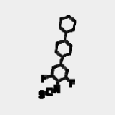 FC1CC(C2CCC(C3CCCCC3)CC2)CC(F)C1N=C=S